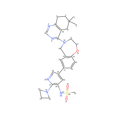 CC1(C)CCc2ncnc(N3CCOc4ccc(-c5cnc(N6CCC6)c(NS(C)(=O)=O)c5)cc4C3)c2C1